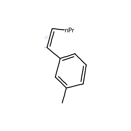 CCC/C=[C]\c1cccc(C)c1